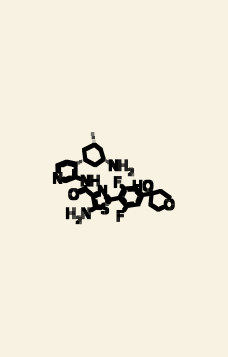 C[C@@H]1C[C@H](N)C[C@H](c2ccncc2NC(=O)c2nc(-c3c(F)cc(C4(O)CCOCC4)cc3F)sc2N)C1